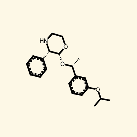 CC(C)Oc1cccc([C@@H](C)O[C@H]2OCCN[C@H]2c2ccccc2)c1